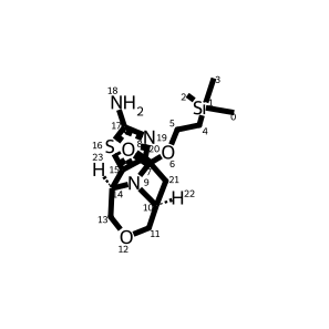 C[Si](C)(C)CCOC(=O)N1[C@@H]2COC[C@H]1c1sc(N)nc1C2